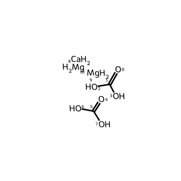 O=C(O)O.O=C(O)O.[CaH2].[MgH2].[MgH2]